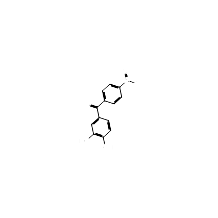 Cc1cc(C(=O)c2ccc([N+](=O)[O-])cc2)ccc1O